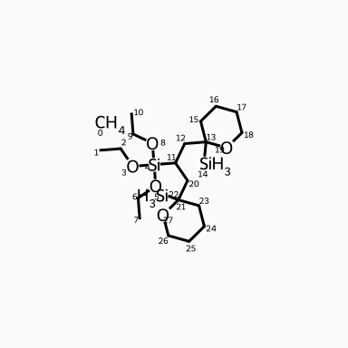 C.CCO[Si](OCC)(OCC)C(CC1([SiH3])CCCCO1)CC1([SiH3])CCCCO1